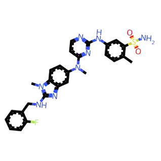 Cc1ccc(Nc2nccc(N(C)c3ccc4c(c3)nc(NCc3ccccc3F)n4C)n2)cc1S(N)(=O)=O